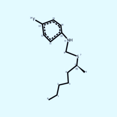 CCCCC[C@H](C)SCNc1ccc(F)cc1